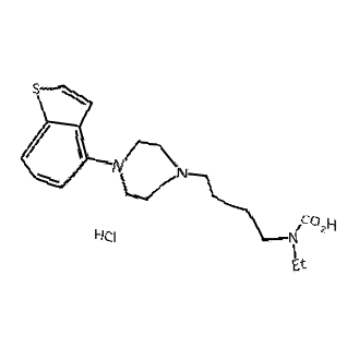 CCN(CCCCN1CCN(c2cccc3sccc23)CC1)C(=O)O.Cl